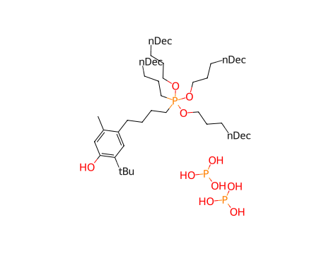 CCCCCCCCCCCCCOP(CCCCCCCCCCCCC)(CCCCc1cc(C(C)(C)C)c(O)cc1C)(OCCCCCCCCCCCCC)OCCCCCCCCCCCCC.OP(O)O.OP(O)O